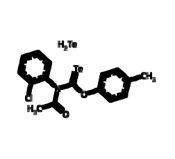 CC(=O)N(C(=[Te])Oc1ccc(C)cc1)c1ccccc1Cl.[TeH2]